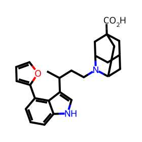 CC(CCN1C2CC3CC1CC(C(=O)O)(C3)C2)c1c[nH]c2cccc(-c3ccco3)c12